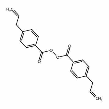 C=CCc1ccc(C(=O)OOC(=O)c2ccc(CC=C)cc2)cc1